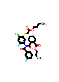 CCCCOC(=O)CSc1cc(N(C(=O)C2=C(C(=O)OCCC)CCCC2)C(=O)c2cccc(F)c2)c(F)cc1Cl